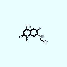 CC(C)CNc1cc2[nH]c(=O)cc(C(F)(F)F)c2cc1F